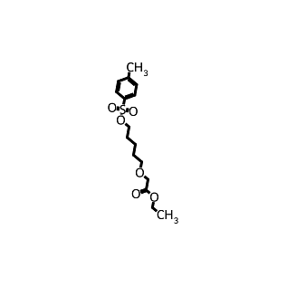 CCOC(=O)COCCCCCOS(=O)(=O)c1ccc(C)cc1